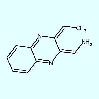 C/C=c1/nc2ccccc2n/c1=C/N